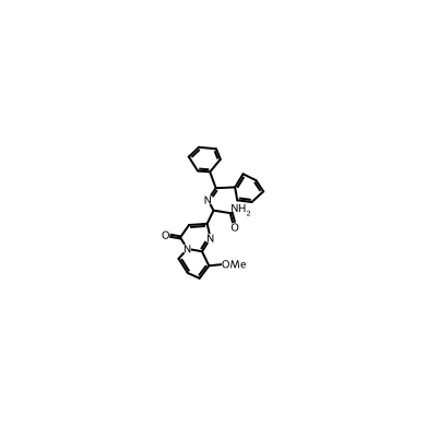 COc1cccn2c(=O)cc(C(N=C(c3ccccc3)c3ccccc3)C(N)=O)nc12